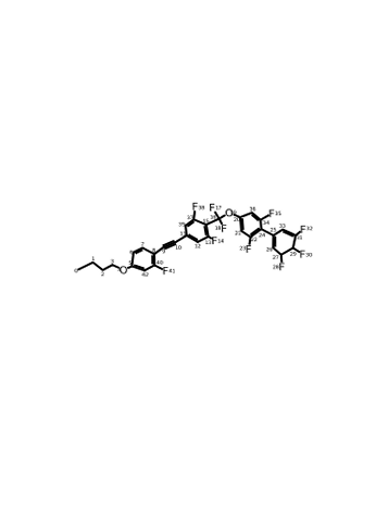 CCCCOc1ccc(C#Cc2cc(F)c(C(F)(F)Oc3cc(F)c(C4=CC(F)C(F)C(F)=C4)c(F)c3)c(F)c2)c(F)c1